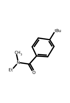 CCN(C)C(=O)c1ccc(C(C)(C)C)cc1